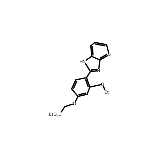 CCOC(=O)COc1ccc(-c2nc3ncccc3[nH]2)c(OCC)c1